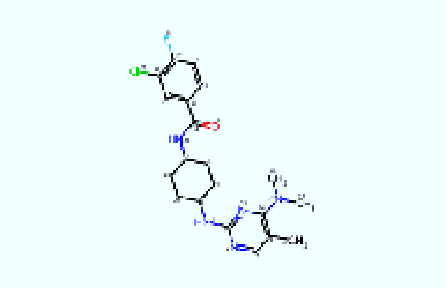 Cc1cnc(NC2CCC(NC(=O)c3ccc(F)c(Cl)c3)CC2)nc1N(C)C